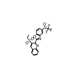 CCS(=O)(=O)c1cc2ccccc2nc1-c1nc2cc([S+]([O-])C(F)(F)F)ccc2o1